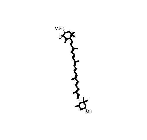 CO[C@H]1CC(C)(C)C(/C=C/C(C)=C/C=C/C(C)=C/C=C/C=C(C)/C=C/C=C(C)/C=C/[C@H]2C(C)C[C@@H](O)CC2(C)C)C(C)C1=O